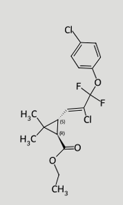 CCOC(=O)[C@@H]1[C@@H](C=C(Cl)C(F)(F)Oc2ccc(Cl)cc2)C1(C)C